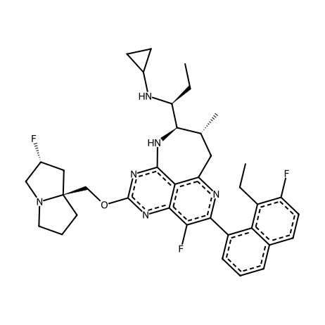 CCc1c(F)ccc2cccc(-c3nc4c5c(nc(OC[C@@]67CCCN6C[C@H](F)C7)nc5c3F)N[C@@H]([C@H](CC)NC3CC3)[C@H](C)C4)c12